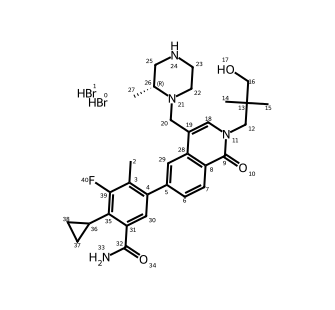 Br.Br.Cc1c(-c2ccc3c(=O)n(CC(C)(C)CO)cc(CN4CCNC[C@H]4C)c3c2)cc(C(N)=O)c(C2CC2)c1F